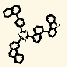 C1=Cc2cccc(-c3ccc(-c4nc(-c5ccc6ccc7ccccc7c6c5)nc(-c5cccc6c(-c7cccc8oc9ccccc9c78)cccc56)n4)cc3)c2CC1